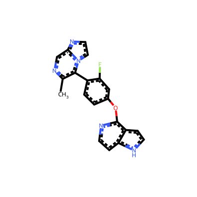 Cc1ncc2nccn2c1-c1ccc(Oc2nccc3[nH]ccc23)cc1F